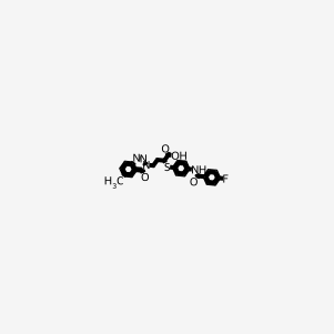 Cc1ccc2nnn(CCC(Sc3ccc(NC(=O)c4ccc(F)cc4)cc3)C(=O)O)c(=O)c2c1